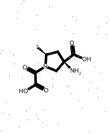 N[C@]1(C(=O)O)C[C@H](I)N(C(=O)C(=O)O)C1